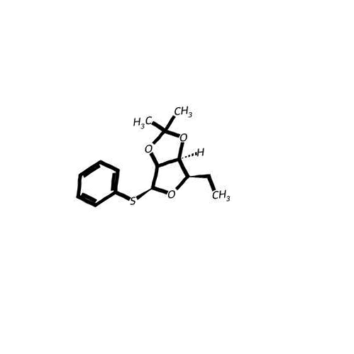 CC[C@H]1O[C@@H](Sc2ccccc2)C2OC(C)(C)O[C@H]21